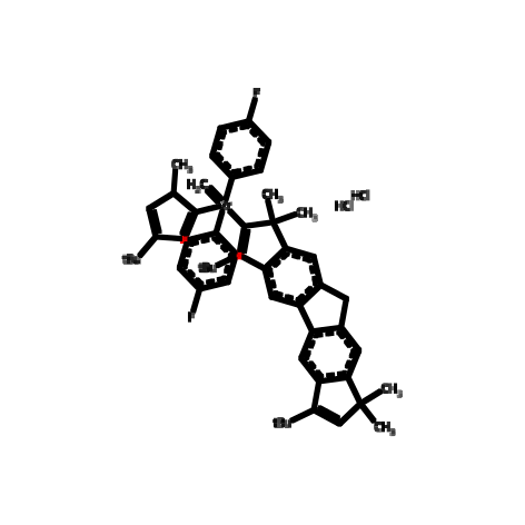 Cl.Cl.[CH2]=[Zr]([C]1=CC(C(C)(C)C)=CC1C)([C]1=C(C(C)(C)C)c2cc3c(cc2C1(C)C)Cc1cc2c(cc1-3)C(C(C)(C)C)=CC2(C)C)([c]1ccc(F)cc1)[c]1ccc(F)cc1